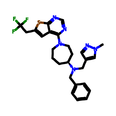 Cn1cc(CN(Cc2ccccc2)[C@H]2CCCN(c3ncnc4sc(CC(F)(F)F)cc34)CC2)cn1